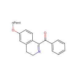 CCCCCOc1ccc2c(c1)CCN=C2C(=O)c1ccccc1